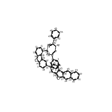 C1=C(c2ccccc2)N=C(c2cccc3oc4ccc(-c5ccc6c(c5)oc5cc7ccccc7cc56)cc4c23)N=C(c2ccccc2)C1